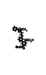 Cc1oc(-c2ccccc2)nc1CCOc1cccc(C2CN(C(=O)OCC(C)C)CC[C@@H]2CC(=O)O)c1